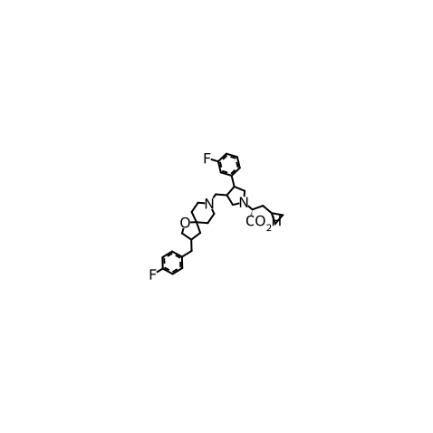 O=C(O)[C@@H](CC1CC1)N1CC(CN2CCC3(CC2)CC(Cc2ccc(F)cc2)CO3)C(c2cccc(F)c2)C1